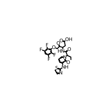 CCC(C(=O)NC(CC(=O)O)C(=O)COc1c(F)c(F)cc(F)c1F)n1cccc(Nc2nccs2)c1=O